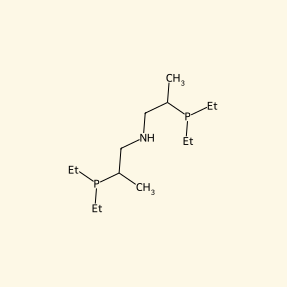 CCP(CC)C(C)CNCC(C)P(CC)CC